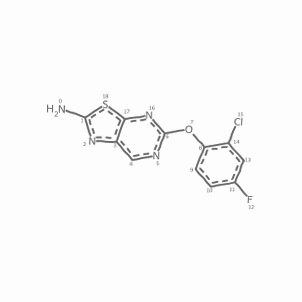 Nc1nc2cnc(Oc3ccc(F)cc3Cl)nc2s1